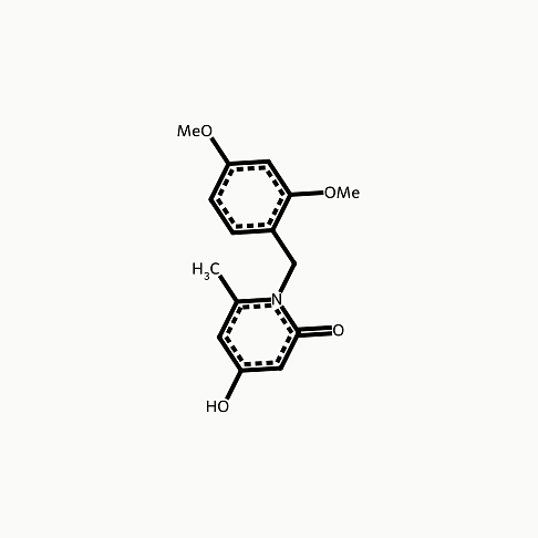 COc1ccc(Cn2c(C)cc(O)cc2=O)c(OC)c1